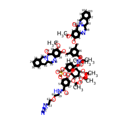 COc1cc2c(cc1OCc1cc(COc3cc4c(cc3OC)C(=O)N3Cc5ccccc5CC3C=N4)cc(C[N+](C)(C)Cc3ccc(OS(=O)(=O)Oc4cc(C(=O)NCCOCCN=[N+]=[N-])ccc4OC4O[C@H](COC(C)=O)[C@H](OC(C)=O)[C@H](OC(C)=O)[C@H]4OC(C)=O)cc3)c1)N=CC1Cc3ccccc3CN1C2=O